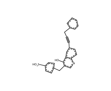 O=S(=O)(O)c1ccc(Cc2cnc3ccc(C#CCc4ccccc4)cc3c2O)cc1